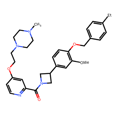 CCc1ccc(COc2ccc(C3CN(C(=O)c4cc(OCCN5CCN(C)CC5)ccn4)C3)cc2OC)cc1